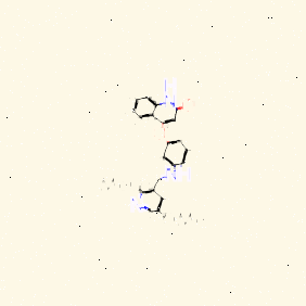 COc1cnc(OC)c(CNc2cccc(Oc3cc(=O)[nH]c4ccccc34)c2)c1